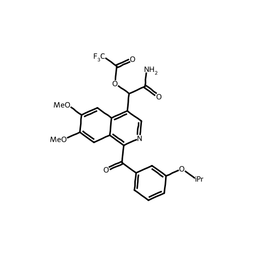 COc1cc2c(C(OC(=O)C(F)(F)F)C(N)=O)cnc(C(=O)c3cccc(OC(C)C)c3)c2cc1OC